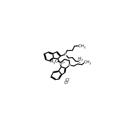 CCCCP(CCCC)C1=Cc2ccccc2[CH]1[Ti+2][CH]1C(P(CCCC)CCCC)=Cc2ccccc21.[Cl-].[Cl-]